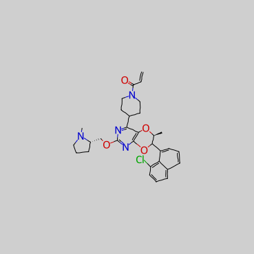 C=CC(=O)N1CCC(c2nc(OC[C@@H]3CCCN3C)nc3c2O[C@@H](C)C(c2cccc4cccc(Cl)c24)O3)CC1